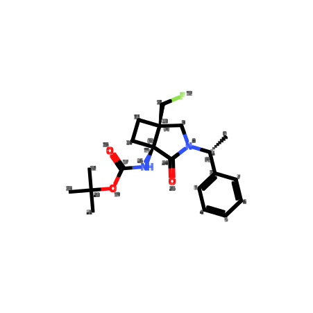 C[C@H](c1ccccc1)N1C[C@@]2(CF)CC[C@@]2(NC(=O)OC(C)(C)C)C1=O